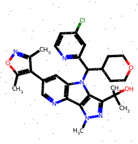 Cc1noc(C)c1-c1cnc2c3c(c(C(C)(C)O)nn3C)n(C(c3cc(Cl)ccn3)C3CCOCC3)c2c1